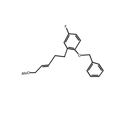 COC/C=C/CCc1cc(F)ccc1OCc1ccccc1